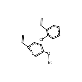 C=Cc1ccc(OCC)cc1.C=Cc1ccccc1Cl